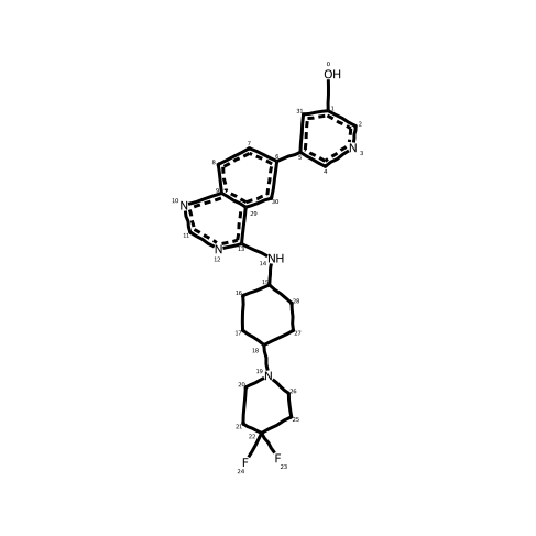 Oc1cncc(-c2ccc3ncnc(NC4CCC(N5CCC(F)(F)CC5)CC4)c3c2)c1